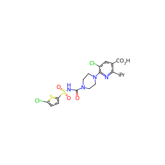 CC(C)c1nc(N2CCN(C(=O)NS(=O)(=O)c3ccc(Cl)s3)CC2)c(Cl)cc1C(=O)O